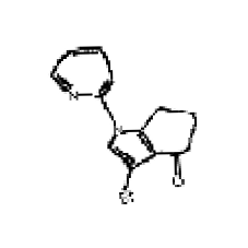 CCc1cn(-c2ccccn2)c2c1C(=O)CCC2